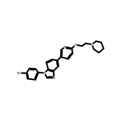 N#Cc1ccc(-n2cnc3cc(-c4ccc(OCCN5CCCCC5)nc4)ccc32)cc1